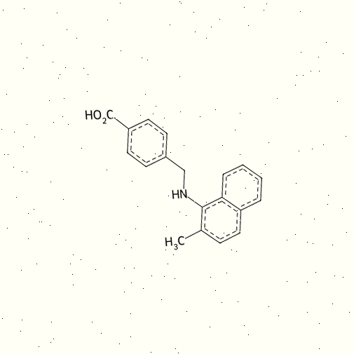 Cc1ccc2ccccc2c1NCc1ccc(C(=O)O)cc1